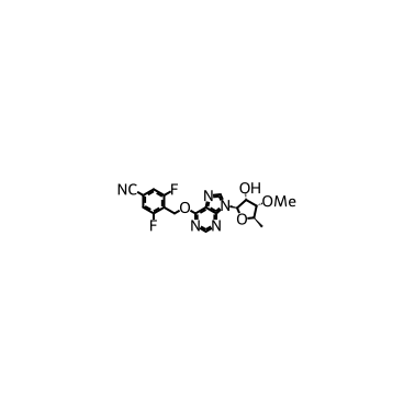 CO[C@H]1[C@@H](O)[C@H](n2cnc3c(OCc4c(F)cc(C#N)cc4F)ncnc32)O[C@@H]1C